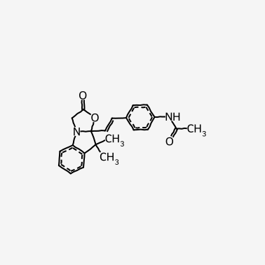 CC(=O)Nc1ccc(/C=C/C23OC(=O)CN2c2ccccc2C3(C)C)cc1